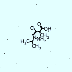 C=C(C(=O)O)/C(Cl)=C\N(N)C(C)C